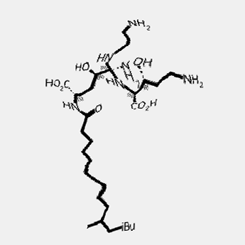 CCC(C)CC(C)CCCCCCCCC(=O)N[C@@H](C[C@@H](O)[C@@](N)(NCCN)N[C@H](C(=O)O)[C@H](O)CCN)C(=O)O